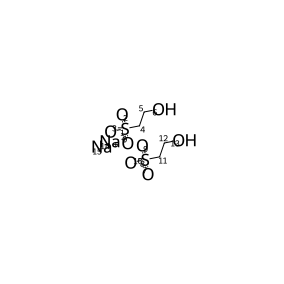 O=S(=O)([O-])CCO.O=S(=O)([O-])CCO.[Na+].[Na+]